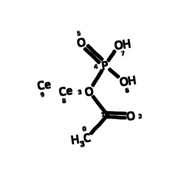 CC(=O)OP(=O)(O)O.[Ce].[Ce]